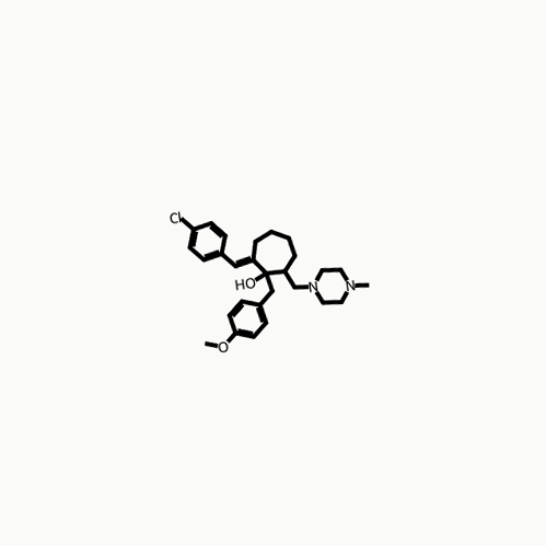 COc1ccc(CC2(O)C(=Cc3ccc(Cl)cc3)CCCCC2CN2CCN(C)CC2)cc1